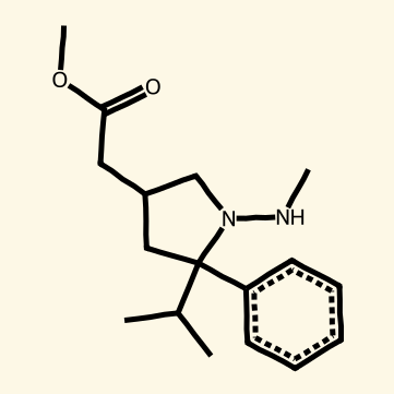 CNN1CC(CC(=O)OC)CC1(c1ccccc1)C(C)C